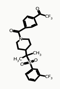 CC(C)(C1CCN(C(=O)c2ccc(C(=O)C(F)(F)F)cc2)CC1)S(=O)(=O)c1cccc(C(F)(F)F)c1